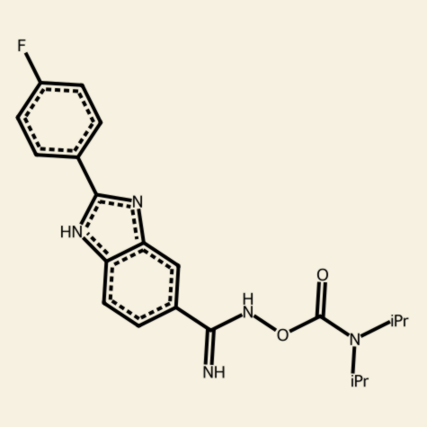 CC(C)N(C(=O)ONC(=N)c1ccc2[nH]c(-c3ccc(F)cc3)nc2c1)C(C)C